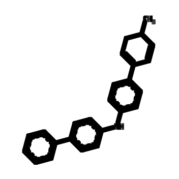 CC1C=CC(c2ccc(Nc3ccc(-c4ccccc4)cc3)cc2)=CC1